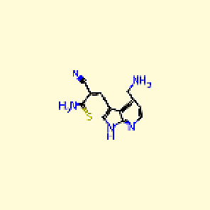 N#CC(=Cc1c[nH]c2nccc(CN)c12)C(N)=S